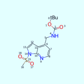 CC(C)(C)OC(=O)NCc1ccnc2c1ccn2S(C)(=O)=O